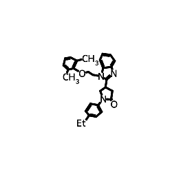 CCc1ccc(N2CC(c3nc4ccccc4n3CCOc3c(C)cccc3C)CC2=O)cc1